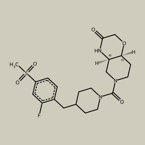 CS(=O)(=O)c1ccc(CC2CCN(C(=O)N3CC[C@@H]4OCC(=O)N[C@@H]4C3)CC2)c(F)c1